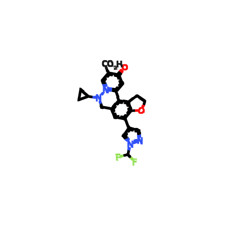 O=C(O)c1cn2c(cc1=O)-c1c(cc(-c3cnn(C(F)F)c3)c3c1CCO3)CN2C1CC1